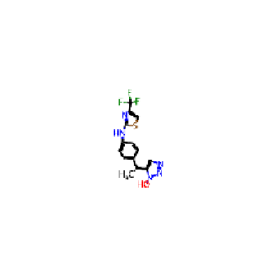 C[C@H](c1ccc(Nc2nc(C(F)(F)F)cs2)cc1)c1cnnn1O